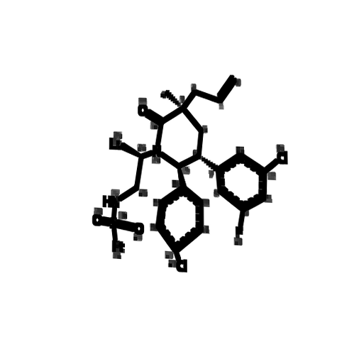 C=CC[C@@]1(C)C[C@H](c2cc(F)cc(Cl)c2)[C@@H](c2ccc(Cl)cc2)N([C@H](CC)CNS(=O)(=O)CC)C1=O